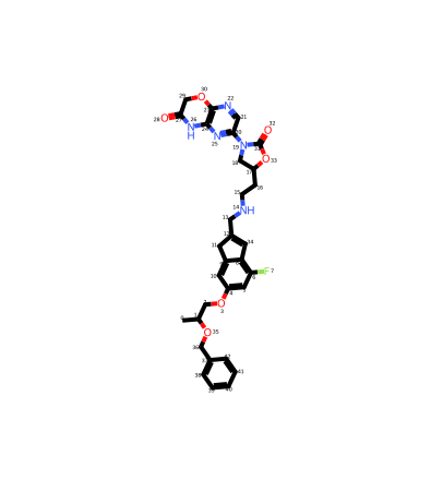 CC(COc1cc(F)c2c(c1)CC(CNCCC1CN(c3cnc4c(n3)NC(=O)CO4)C(=O)O1)=C2)OCc1ccccc1